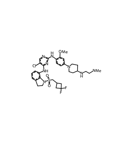 CNCCNC1CCN(c2ccc(Nc3ncc(Cl)c(Nc4cccc5c4N(S(=O)(=O)CC4CC(F)(F)C4)CC5)n3)c(OC)c2)CC1